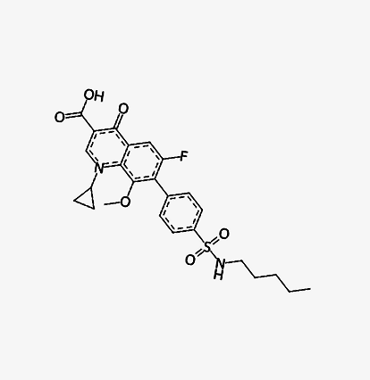 CCCCCNS(=O)(=O)c1ccc(-c2c(F)cc3c(=O)c(C(=O)O)cn(C4CC4)c3c2OC)cc1